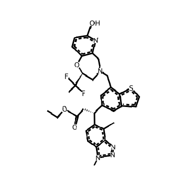 CCOC(=O)C[C@H](c1cc(CN2Cc3nc(O)ccc3O[C@H](C(C)(F)F)C2)c2sccc2c1)c1ccc2c(nnn2C)c1C